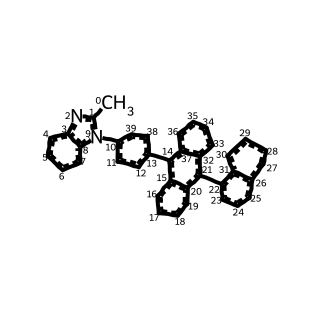 Cc1nc2ccccc2n1-c1ccc(-c2c3ccccc3c(-c3cccc4ccccc34)c3ccccc23)cc1